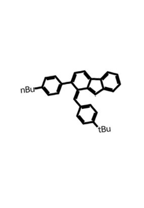 CCCCc1ccc(-c2ccc3c(c2=Cc2ccc(C(C)(C)C)cc2)=[C]c2ccccc2-3)cc1